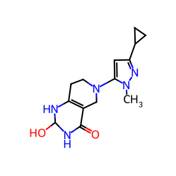 Cn1nc(C2CC2)cc1N1CCC2=C(C1)C(=O)NC(O)N2